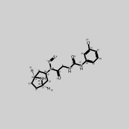 O=C(NCC(=O)N(P=S)[C@H]1C[C@H]2CC[C@@H](C1)N2)Nc1cccc(Cl)c1